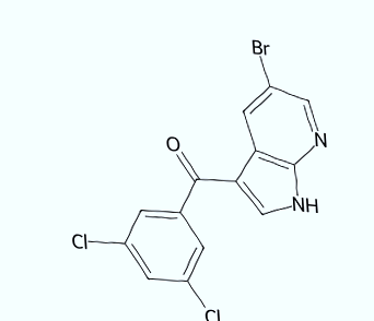 O=C(c1cc(Cl)cc(Cl)c1)c1c[nH]c2ncc(Br)cc12